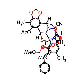 COCOc1c(OC)c(C)cc2c1[C@H]1C3[C@@H]4SC[C@H](OC(=O)C=Cc5ccccc5)C(=O)OC[C@@H](c5c6c(c(C)c(OC(C)=O)c54)OCO6)N3[C@@H](C#N)[C@@H](C2)N1C